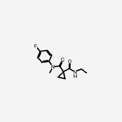 CCNC(=O)C1(C(=O)N(C)c2ccc(F)cc2)CC1